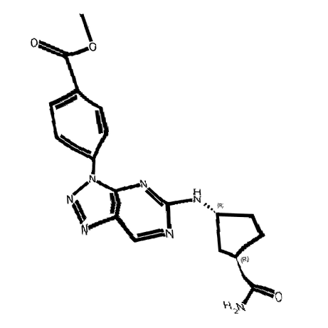 COC(=O)c1ccc(-n2nnc3cnc(N[C@@H]4CC[C@@H](C(N)=O)C4)nc32)cc1